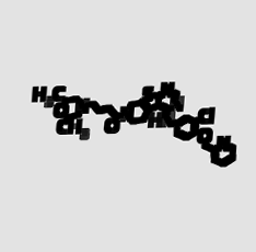 CC1CN(CC=CC(=O)N2CCc3c(sc4ncnc(Nc5ccc(OCc6ccccn6)c(Cl)c5)c34)C2)CC(C)O1